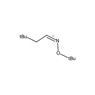 CC(C)(C)C/C=N\OC(C)(C)C